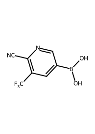 N#Cc1ncc(B(O)O)cc1C(F)(F)F